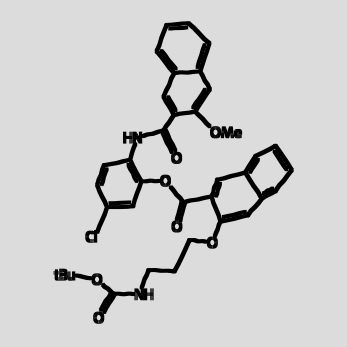 COc1cc2ccccc2cc1C(=O)Nc1ccc(Cl)cc1OC(=O)c1cc2ccccc2cc1OCCCNC(=O)OC(C)(C)C